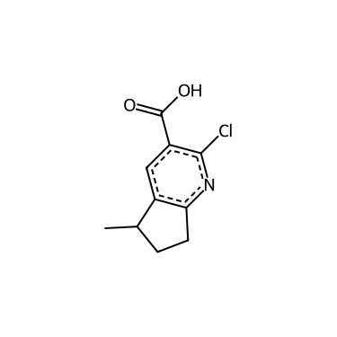 CC1CCc2nc(Cl)c(C(=O)O)cc21